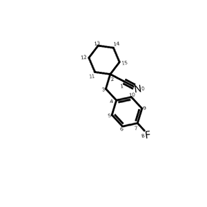 N#CC1(Cc2ccc(F)cc2)CCCCC1